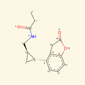 CCC(=O)NC[C@@H]1C[C@H]1c1cccc2c1CC(=O)O2